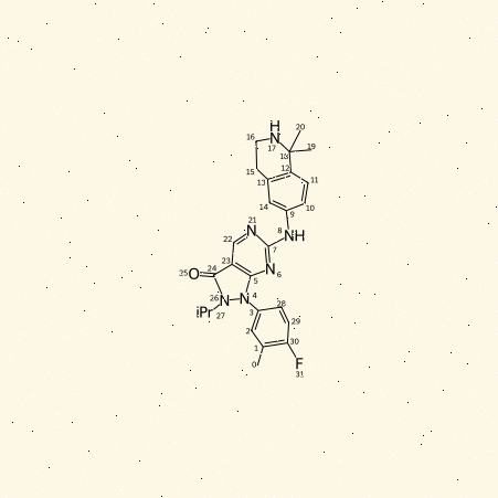 Cc1cc(-n2c3nc(Nc4ccc5c(c4)CCNC5(C)C)ncc3c(=O)n2C(C)C)ccc1F